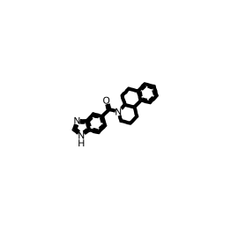 O=C(c1ccc2[nH]cnc2c1)N1CCCC2c3ccccc3CCC21